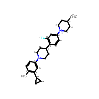 N#Cc1ccc(N2CCC(c3ccc(N4CCC(C=O)CC4)cc3F)CC2)cc1C1CC1